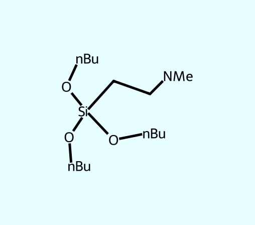 CCCCO[Si](CCNC)(OCCCC)OCCCC